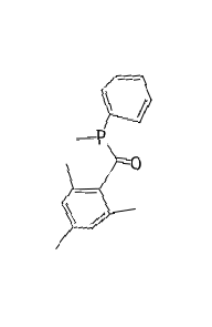 Cc1cc(C)c(C(=O)P(C)c2ccccc2)c(C)c1